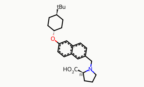 CC(C)(C)[C@H]1CC[C@H](Oc2ccc3cc(CN4CCC[C@H]4C(=O)O)ccc3c2)CC1